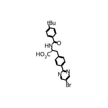 CC(C)(C)c1ccc(C(=O)N[C@@H](Cc2ccc(-c3ncc(Br)cn3)cc2)C(=O)O)cc1